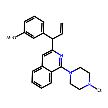 C=CC(c1cccc(OC)c1)c1cc2ccccc2c(N2CCN(CC)CC2)n1